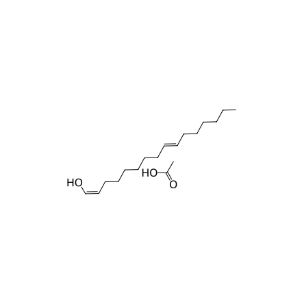 CC(=O)O.CCCCCCC=CCCCCCC/C=C\O